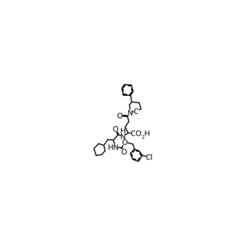 O=C(NC(CC1CCCCC1)C(=O)NC(CCC(=O)N1CCCC(c2ccccc2)C1)C(=O)O)OCc1cccc(Cl)c1